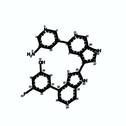 Nc1cncc(-c2cc3c(-c4nc5c(-c6cc(O)cc(F)c6)cncc5[nH]4)n[nH]c3cn2)c1